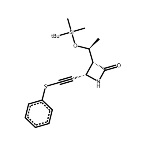 C[C@H](O[Si](C)(C)C(C)(C)C)[C@@H]1C(=O)N[C@@H]1C#CSc1ccccc1